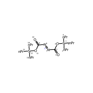 CCC[Si](CCC)(CCC)OC(=O)/N=N/C(=O)O[Si](CCC)(CCC)CCC